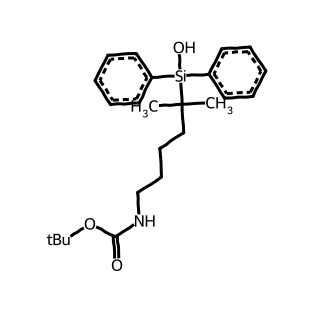 CC(C)(C)OC(=O)NCCCCC(C)(C)[Si](O)(c1ccccc1)c1ccccc1